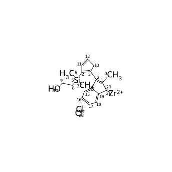 CC1=C(C2=C([Si](C)(C)CCO)C=CC2)c2ccccc2[CH]1[Zr+2].[Cl-].[Cl-]